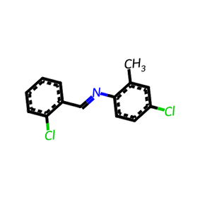 Cc1cc(Cl)ccc1/N=C/c1ccccc1Cl